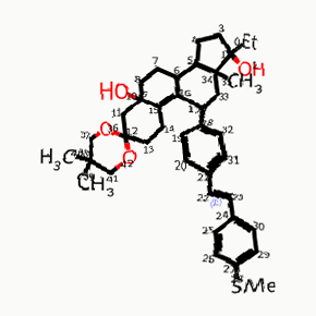 CCC1(O)CCC2C3CCC4(O)CC5(CCC4=C3C(c3ccc(/C=C/c4ccc(SC)cc4)cc3)CC21C)OCC(C)(C)CO5